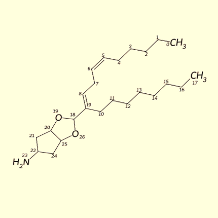 CCCCC/C=C\CC=C(CCCCCCCC)C1OC2CC(N)CC2O1